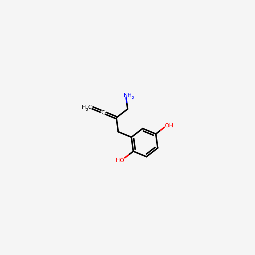 C=C=C(CN)Cc1cc(O)ccc1O